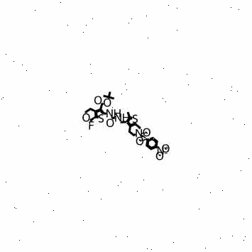 Cc1sc2c(c1CNC(=O)Nc1sc3c(c1C(=O)OC(C)(C)C)CCOC3F)CCN(S(=O)(=O)c1ccc([N+](=O)[O-])cc1)C2